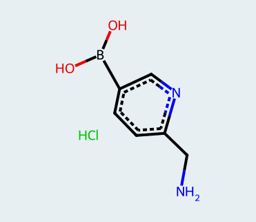 Cl.NCc1ccc(B(O)O)cn1